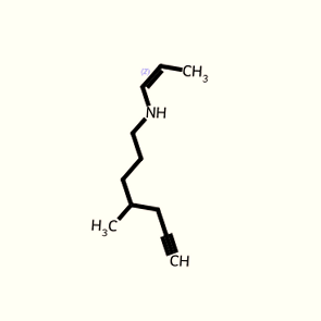 C#CCC(C)CCCN/C=C\C